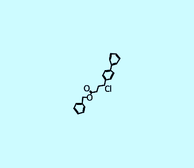 O=C(CCC(Cl)c1ccc(-c2ccccc2)cc1)OCc1ccccc1